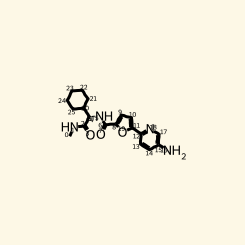 CNC(=O)[C@@H](NC(=O)c1ccc(-c2ccc(N)cn2)o1)C1CCCCC1